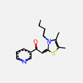 CCCCN1C(=CC(=O)c2cccnc2)SC(C)=C1C